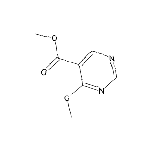 COC(=O)c1cncnc1OC